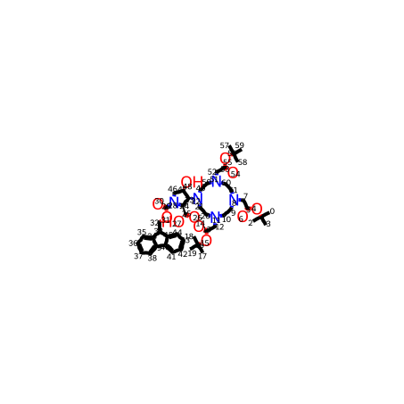 CC(C)(C)OC(=O)CN1CCN(CC(=O)OC(C)(C)C)CCN([C@H]2[C@@H](C(=O)O)N(C(=O)OCC3c4ccccc4-c4ccccc43)C[C@@H]2O)CCN(CC(=O)OC(C)(C)C)CC1